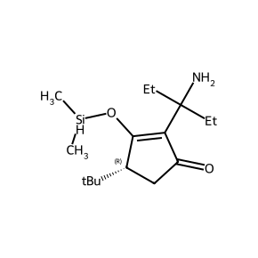 CCC(N)(CC)C1=C(O[SiH](C)C)[C@@H](C(C)(C)C)CC1=O